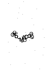 COc1cc2c(cc1OC)CC(=O)N(C(C)C1CCCCN1CCc1ccc([N+](=O)[O-])cc1)CC2